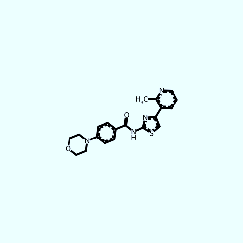 Cc1ncccc1-c1csc(NC(=O)c2ccc(N3CCOCC3)cc2)n1